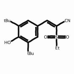 CCS(=O)(=O)C(C#N)=Cc1cc(C(C)(C)C)c(O)c(C(C)(C)C)c1